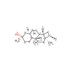 CC(=O)[C@@H]1C[C@H]2[C@@H]3CC[C@@H]4C[C@](C)(O)CC[C@]4(C)[C@H]3CC[C@]12C